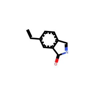 C=Cc1ccc2c(c1)C(=O)N=C2